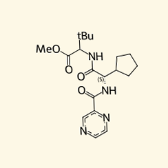 COC(=O)C(NC(=O)[C@@H](NC(=O)c1cnccn1)C1CCCC1)C(C)(C)C